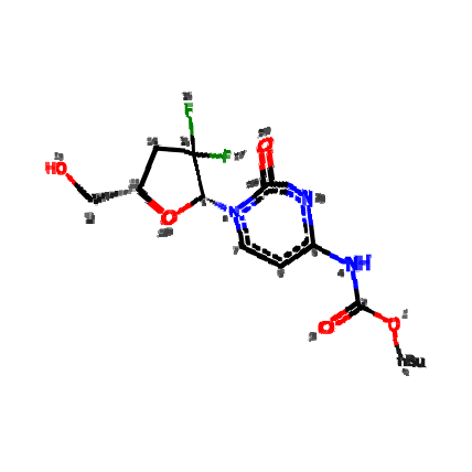 CCCCOC(=O)Nc1ccn([C@@H]2O[C@H](CO)CC2(F)F)c(=O)n1